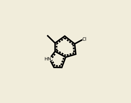 Cc1cc(Cl)cc2cc[nH]c12